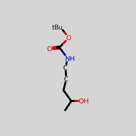 CC(O)CCCNC(=O)OC(C)(C)C